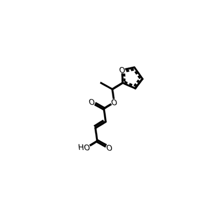 CC(OC(=O)/C=C/C(=O)O)c1ccco1